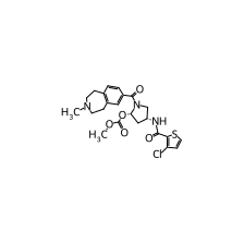 COC(=O)O[C@H]1C[C@@H](NC(=O)c2sccc2Cl)CN1C(=O)c1ccc2c(c1)CCN(C)CC2